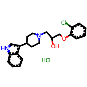 Cl.OC(COc1ccccc1Cl)CN1CCC(c2c[nH]c3ccccc23)CC1